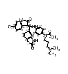 CC(=O)N(CCCN(C)C)c1ccc(N/C(=C2\C(=O)Nc3cc(Cl)ccc32)c2ccc3oc(=O)[nH]c3c2)cc1